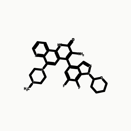 CN1CCN(c2cc3c(-c4cc(F)c(F)c5c4cnn5C4CCCCO4)c(N)c(=O)[nH]c3c3cccnc23)CC1